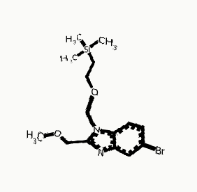 COCc1nc2cc(Br)ccc2n1COCC[Si](C)(C)C